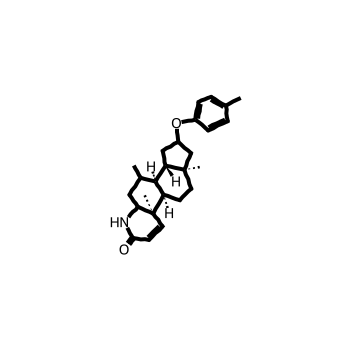 Cc1ccc(OC2C[C@H]3[C@@H]4C(C)CC5NC(=O)C=C[C@]5(C)[C@@H]4CC[C@]3(C)C2)cc1